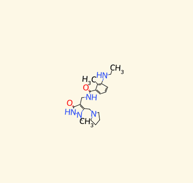 CCNc1cccc(C(=O)NCc2c(CN3CCCC3)n(C)[nH]c2=O)c1C